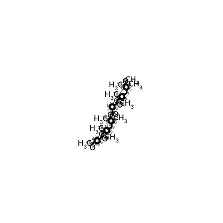 COc1c(C)cc(Cc2cc(C)c(OC(=O)c3cccc(C(=O)Oc4c(C)cc(Cc5cc(C)c(OC(=O)c6ccc(C(C)=O)cc6)c(C)c5)cc4C)c3)c(C)c2)cc1C